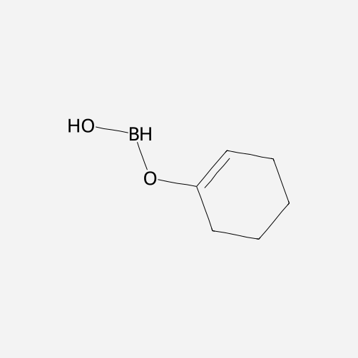 OBOC1=CCCCC1